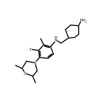 Cc1c(NCC2CCC(N)CC2)ccc(N2CC(C)OC(C)C2)c1F